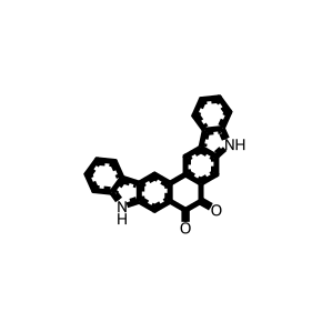 O=C1C(=O)c2cc3[nH]c4ccccc4c3cc2-c2cc3c(cc21)[nH]c1ccccc13